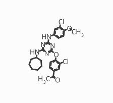 COc1ccc(Nc2nc(NC3CCCCCC3)nc(Oc3ccc(C(C)=O)cc3Cl)n2)cc1Cl